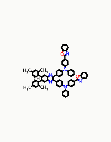 Cc1ccc(-c2cc3nc(-c4ccc(N(c5ccccc5)c5ccc(-c6nc7ccccc7o6)cc5)cc4)c(-c4ccc(N(c5ccccc5)c5ccc(-c6nc7ccccc7o6)cc5)cc4)nc3cc2-c2c(C)cc(C)cc2C)c(C)c1